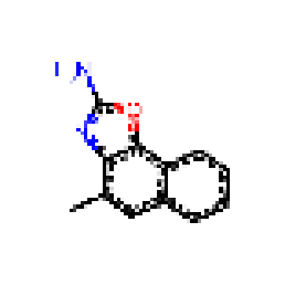 Cc1cc2ccccc2c2oc(N)nc12